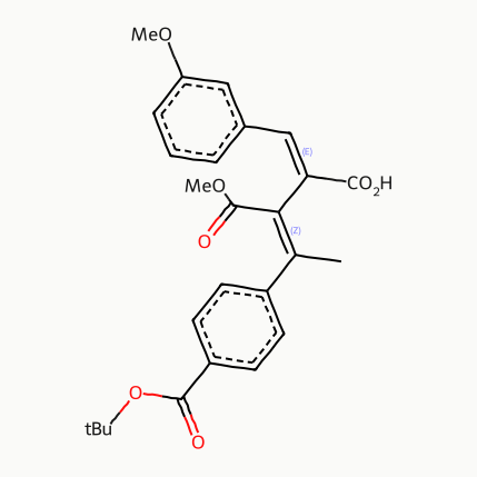 COC(=O)C(=C(/C)c1ccc(C(=O)OC(C)(C)C)cc1)/C(=C\c1cccc(OC)c1)C(=O)O